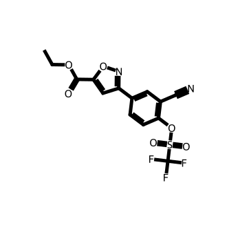 CCOC(=O)c1cc(-c2ccc(OS(=O)(=O)C(F)(F)F)c(C#N)c2)no1